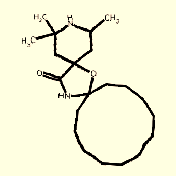 CC1CC2(CC(C)(C)N1)OC1(CCCCCCCCCCC1)NC2=O